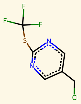 FC(F)(F)Sc1ncc(CCl)cn1